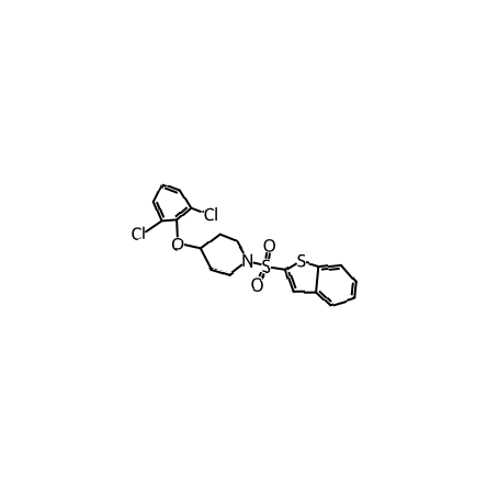 O=S(=O)(c1cc2ccccc2s1)N1CCC(Oc2c(Cl)cccc2Cl)CC1